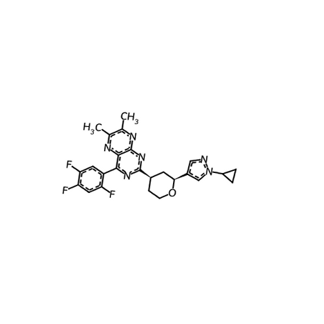 Cc1nc2nc([C@@H]3CCO[C@H](c4cnn(C5CC5)c4)C3)nc(-c3cc(F)c(F)cc3F)c2nc1C